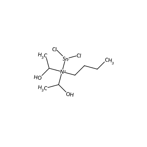 CCCC[N+](C(C)O)(C(C)O)[Sn]([Cl])[Cl]